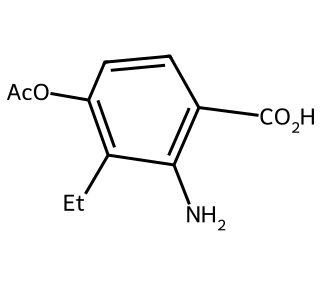 CCc1c(OC(C)=O)ccc(C(=O)O)c1N